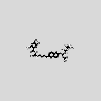 CC(C)(C)OC(=O)N[C@@H](Cc1ccc2cc(CCCCNC(=N)NC(=O)c3nc(Cl)c(N)nc3N)ccc2c1)SC(=O)O